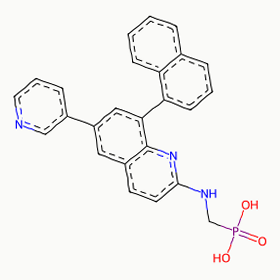 O=P(O)(O)CNc1ccc2cc(-c3cccnc3)cc(-c3cccc4ccccc34)c2n1